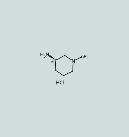 CCCN1CCC[C@@H](N)C1.Cl